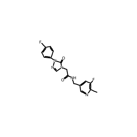 Cc1ncc(CNC(=O)Cn2cnn(-c3ccc(F)cc3)c2=O)cc1F